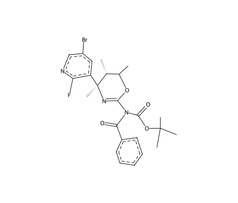 CC1OC(N(C(=O)OC(C)(C)C)C(=O)c2ccccc2)=N[C@@](C)(c2cc(Br)cnc2F)[C@@H]1C